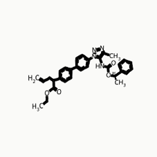 C=CCC(C(=O)OCC)c1ccc(-c2ccc(-n3nnc(C)c3NC(=O)O[C@H](C)c3ccccc3)cc2)cc1